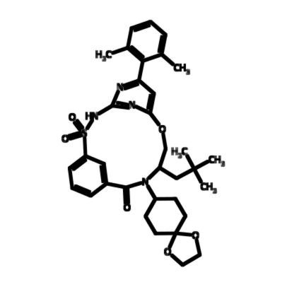 Cc1cccc(C)c1-c1cc2nc(n1)NS(=O)(=O)c1cccc(c1)C(=O)N(C1CCC3(CC1)OCCO3)C(CC(C)(C)C)CO2